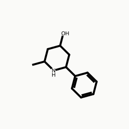 CC1CC(O)CC(c2ccccc2)N1